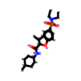 CCN(CC)S(=O)(=O)c1ccc2c(c1)C(C)C(C(=O)NC1CCC(C)CC1)O2